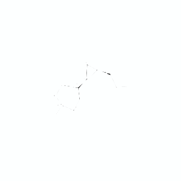 OCC[C@@H]1C[C@@H]1C1CCN(S)CC1